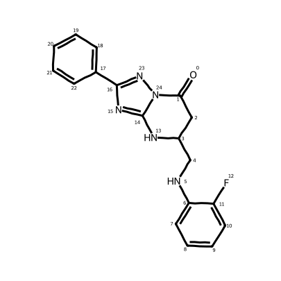 O=C1CC(CNc2ccccc2F)Nc2nc(-c3ccccc3)nn21